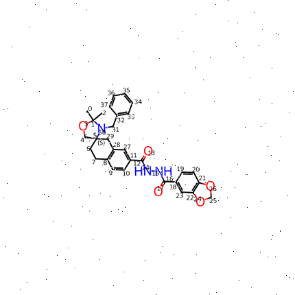 CC1(C)OC[C@@]2(CCc3ccc(C(=O)NNC(=O)c4ccc5c(c4)OCO5)cc3C2)N1Cc1ccccc1